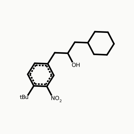 CC(C)(C)c1ccc(CC(O)CC2CCCCC2)cc1[N+](=O)[O-]